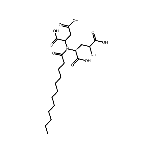 CCCCCCCCCCCC(=O)N(C(CC(=O)O)C(=O)O)[C@@H](C[CH]([Na])C(=O)O)C(=O)O